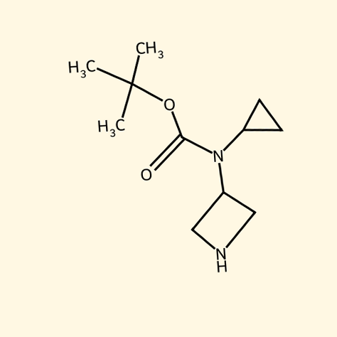 CC(C)(C)OC(=O)N(C1CC1)C1CNC1